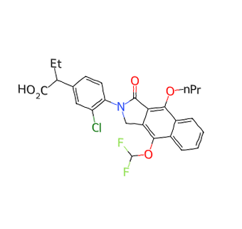 CCCOc1c2c(c(OC(F)F)c3ccccc13)CN(c1ccc(C(CC)C(=O)O)cc1Cl)C2=O